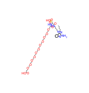 CCCCc1nc2c(N)nc3ccccc3c2n1CCCCNC(=O)C(CS(=O)(=O)O)NC(=O)CCOCCOCCOCCOCCOCCOCCOCCOCCOCCOCCOCCC(=O)O